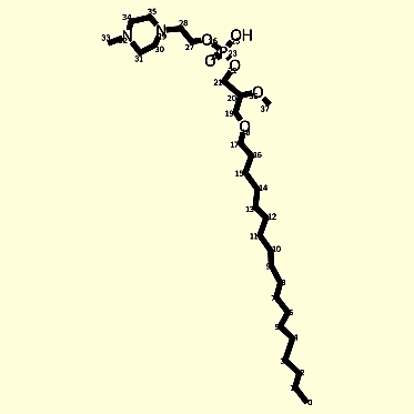 CCCCCCCCCCCCCCCCCCOCC(COP(=O)(O)OCCN1CCN(C)CC1)OC